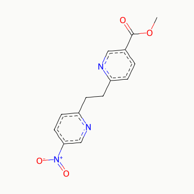 COC(=O)c1ccc(CCc2ccc([N+](=O)[O-])cn2)nc1